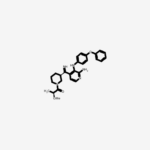 CO[C@@H](C)C(=O)N1CCC[C@@H](C(=N)c2ccnc(N)c2Nc2ccc(Oc3ccccc3)cc2)C1